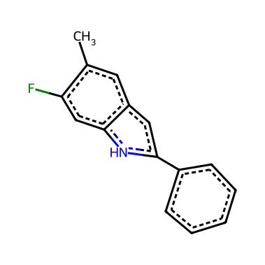 Cc1cc2cc(-c3ccccc3)[nH]c2cc1F